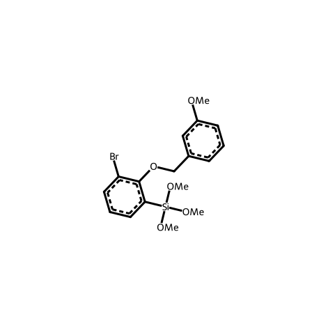 COc1cccc(COc2c(Br)cccc2[Si](OC)(OC)OC)c1